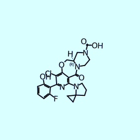 O=C(O)N1CCN2C(=O)c3c(N4CCCC45CC5)nc(-c4c(O)cccc4F)c(Cl)c3OC[C@H]2C1